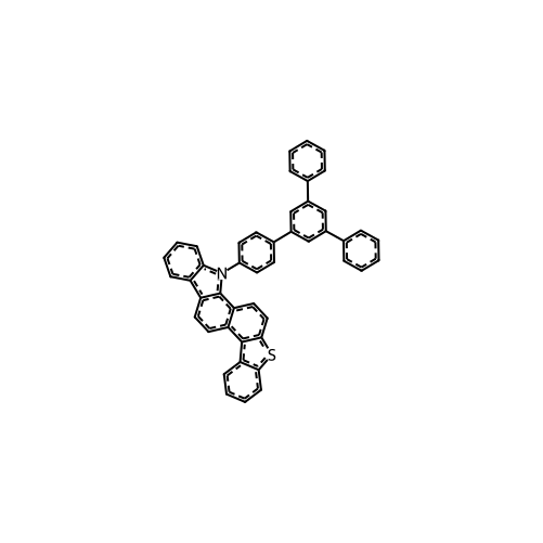 c1ccc(-c2cc(-c3ccccc3)cc(-c3ccc(-n4c5ccccc5c5ccc6c(ccc7sc8ccccc8c76)c54)cc3)c2)cc1